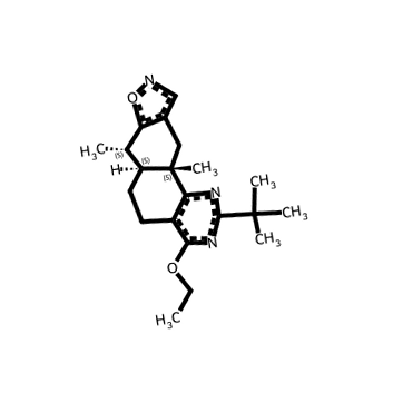 CCOc1nc(C(C)(C)C)nc2c1CC[C@H]1[C@H](C)c3oncc3C[C@]21C